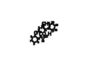 CN(CCOc1ccccc1C1(C(=O)O)CC1)Cc1ccccc1